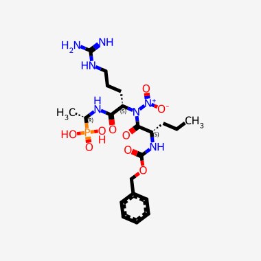 CCC[C@H](NC(=O)OCc1ccccc1)C(=O)N([C@@H](CCCNC(=N)N)C(=O)N[C@@H](C)P(=O)(O)O)[N+](=O)[O-]